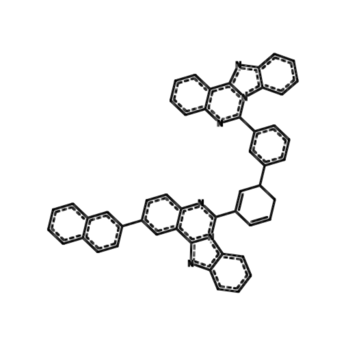 C1=CC(c2nc3ccc(-c4ccc5ccccc5c4)cc3c3nc4ccccc4n23)=CC(c2cccc(-c3nc4ccccc4c4nc5ccccc5n34)c2)C1